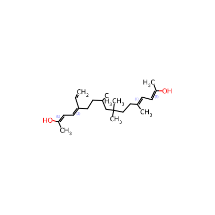 C=C/C(=C\C=C(/C)O)CCC(C)CC(C)(C)CC/C(C)=C/C=C(\C)O